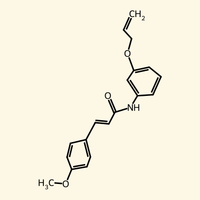 C=CCOc1cccc(NC(=O)/C=C/c2ccc(OC)cc2)c1